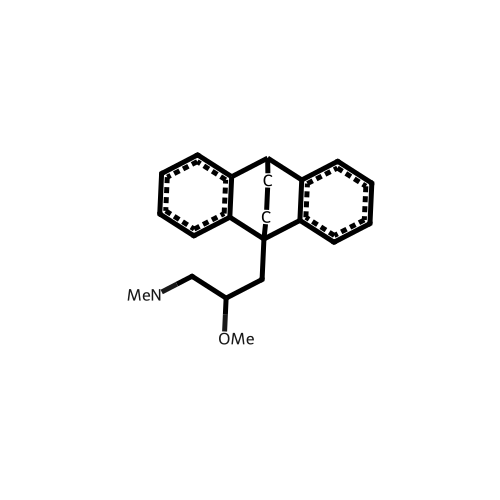 CNCC(CC12CCC(c3ccccc31)c1ccccc12)OC